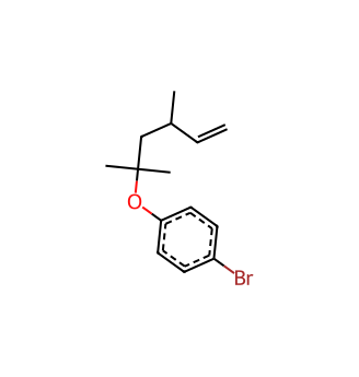 C=CC(C)CC(C)(C)Oc1ccc(Br)cc1